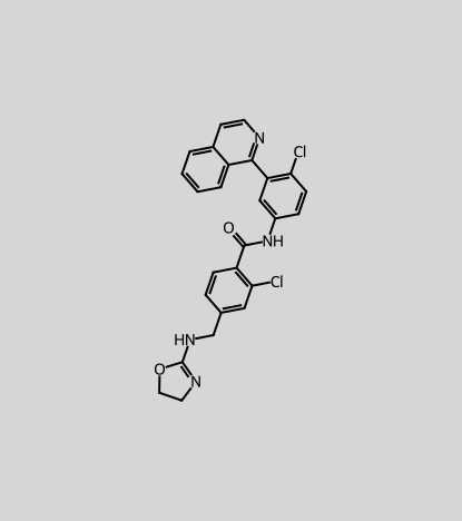 O=C(Nc1ccc(Cl)c(-c2nccc3ccccc23)c1)c1ccc(CNC2=NCCO2)cc1Cl